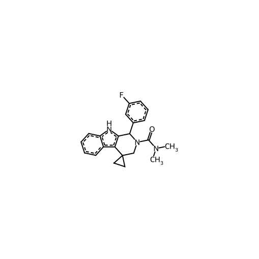 CN(C)C(=O)N1CC2(CC2)c2c([nH]c3ccccc23)C1c1cccc(F)c1